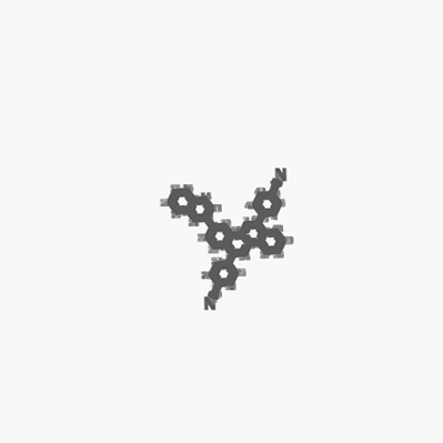 N#Cc1ccc(-c2cc3c4cc(-c5ccc6ccccc6c5)ccc4c(-c4ccc(C#N)cc4)cc3c3ccccc23)cc1